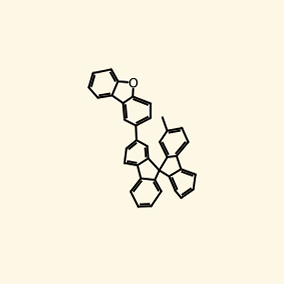 Cc1ccc2c(c1)C1(c3ccccc3-2)c2ccccc2-c2ccc(-c3ccc4oc5ccccc5c4c3)cc21